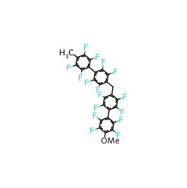 COc1c(F)c(F)c(-c2c(F)c(F)c(Cc3c(F)c(F)c(-c4c(F)c(F)c(C)c(F)c4F)c(F)c3F)c(F)c2F)c(F)c1F